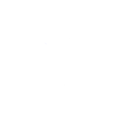 CC1(C)c2ccccc2-c2ccc(-c3cc4c(cc3-c3cc(-c5ccccc5)cc(-c5ccccc5)n3)C(c3ccccc3)(c3ccccc3)c3ccccc3-4)cc21